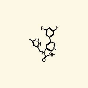 Cc1cc(Cn2c(=O)[nH]c3ncc(-c4cc(F)cc(F)c4)cc32)no1